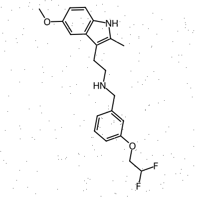 COc1ccc2[nH]c(C)c(CCNCc3cccc(OCC(F)F)c3)c2c1